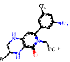 CC(C)C1CNc2cc(-c3cc(N)cc(C(F)(F)F)c3)n(CC(=O)O)c(=O)c2N1